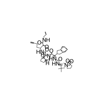 C#CCCC(NC(=O)[C@@H]1[C@H]2CCC[C@H]2CN1C(=O)[C@@H](NC(=O)N[C@H](CN1CCCS1(=O)=O)C(C)(C)C)C1Cc2ccccc2C1)C(=O)C(=O)NCC=C